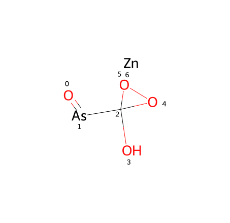 O=[As]C1(O)OO1.[Zn]